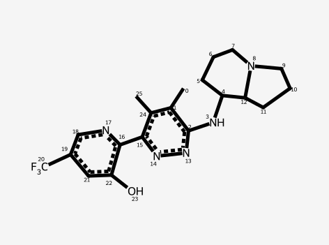 Cc1c(NC2CCCN3CCCC23)nnc(-c2ncc(C(F)(F)F)cc2O)c1C